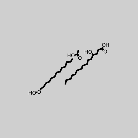 CC(=O)O.CCCCCCCCCCCC(O)CCC(=O)O.CCCCCCCCCCCCCOO